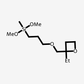 CCC1(COCCC[Si](C)(OC)OC)CCO1